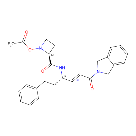 O=C(N[C@H](/C=C/C(=O)N1Cc2ccccc2C1)CCc1ccccc1)[C@@H]1CCN1OC(=O)C(F)(F)F